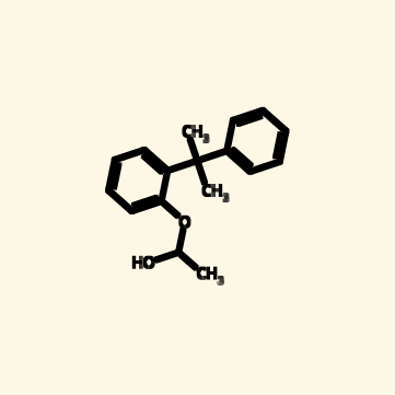 CC(O)Oc1ccccc1C(C)(C)c1ccccc1